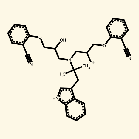 CC(C)(Cc1c[nH]c2ccccc12)N(CC(O)COc1ccccc1C#N)CC(O)COc1ccccc1C#N